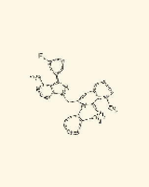 C=C1c2c(C)cccc2C=C(Cn2nc(-c3cccc(F)c3)c3c(N)nccc32)N1c1ccccc1C